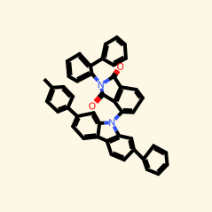 Cc1ccc(-c2ccc3c4ccc(-c5ccccc5)cc4n(-c4cccc5c4C(=O)N(c4ccccc4-c4ccccc4)C5=O)c3c2)cc1